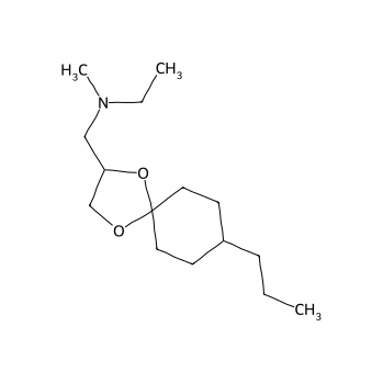 CCCC1CCC2(CC1)OCC(CN(C)CC)O2